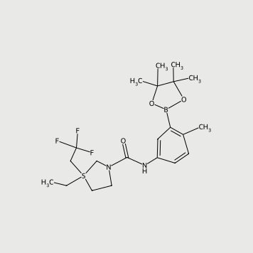 CCS1(CC(F)(F)F)CCN(C(=O)Nc2ccc(C)c(B3OC(C)(C)C(C)(C)O3)c2)C1